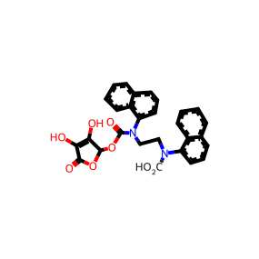 O=C1OC(OC(=O)N(CCN(C(=O)O)c2cccc3ccccc23)c2cccc3ccccc23)C(O)=C1O